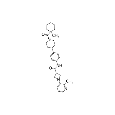 Cc1ncccc1N1CC(C(=O)Nc2ccc(C3CCN(C(=O)C4(C)CCCCC4)CC3)cc2)C1